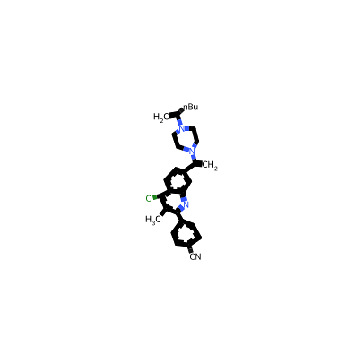 C=C(CCCC)N1CCN(C(=C)c2ccc3c(Cl)c(C)c(-c4ccc(C#N)cc4)nc3c2)CC1